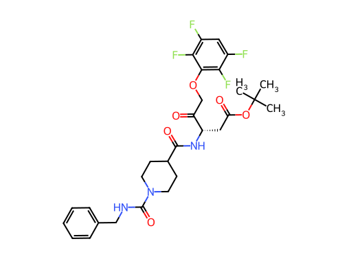 CC(C)(C)OC(=O)C[C@H](NC(=O)C1CCN(C(=O)NCc2ccccc2)CC1)C(=O)COc1c(F)c(F)cc(F)c1F